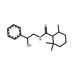 CC1CCCC(C)(C)C1C(=O)NCC(O)c1ccccc1